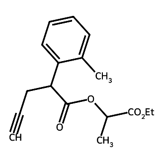 C#CCC(C(=O)OC(C)C(=O)OCC)c1ccccc1C